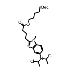 CCCCCCCCCCCCCCOC(=O)CCCc1nc2cc(N(C(C)Cl)C(C)Cl)ccc2n1C